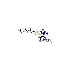 C=CCCCCCCSC1(C2=CCCN(C)C2)C=NSN1